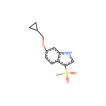 O=S(=O)(Cl)c1c[nH]c2cc(OCC3CC3)ccc12